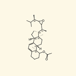 CC(=O)OC1CCCC2=CC=C3[C@@H]4CC[C@H]([C@H](C)C5OC5[C@H](C)C(C)C)[C@@]4(C)CC[C@@H]3[C@]21C